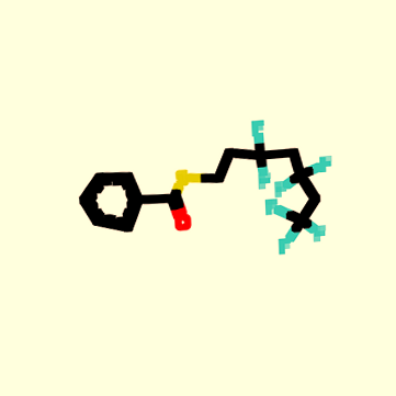 O=C(SCCC(F)(F)CC(F)(F)CC(F)(F)F)c1ccccc1